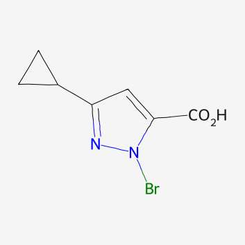 O=C(O)c1cc(C2CC2)nn1Br